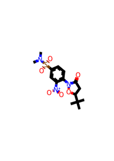 CN(C)S(=O)(=O)c1ccc(N2OC(C(C)(C)C)CC2=O)c([N+](=O)[O-])c1